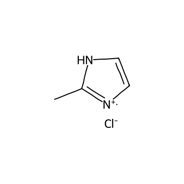 CC1=[N+]C=CN1.[Cl-]